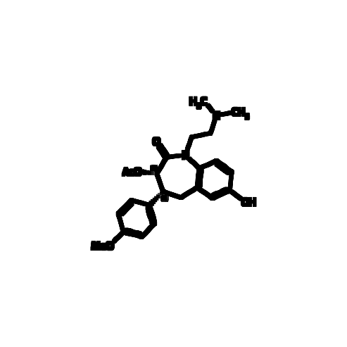 COc1ccc([C@H]2Cc3cc(O)ccc3N(CCN(C)C)C(=O)[C@H]2OC(C)=O)cc1